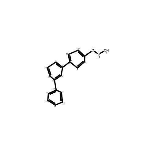 OBOc1ccc(-c2cccc(-c3ccccc3)c2)cc1